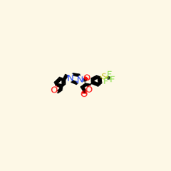 O=C1C[C@H](C(=O)N2CCN(Cc3ccc4c(c3)CCO4)CC2)[C@@H](c2ccc(SC(F)(F)F)cc2)O1